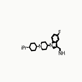 CC(C)[C@H]1CC[C@@H](N2CCC(n3cc(C=N)c4cc(F)ccc43)CC2)CC1